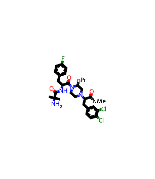 CCCC1CN(C(Cc2ccc(Cl)c(Cl)c2)C(=O)NC)CCN1C(=O)C(Cc1ccc(F)cc1)NC(=O)C(C)(C)N